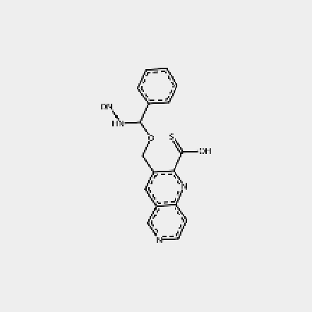 O=NNC(OCc1cc2cnccc2nc1C(O)=S)c1ccccc1